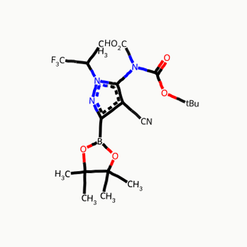 CC(n1nc(B2OC(C)(C)C(C)(C)O2)c(C#N)c1N(C(=O)O)C(=O)OC(C)(C)C)C(F)(F)F